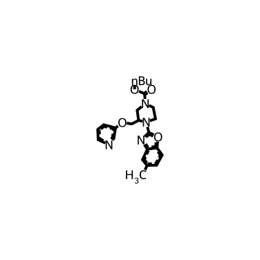 CCCCOC(=O)N1CCN(c2nc3cc(C)ccc3o2)C(COc2cccnc2)C1